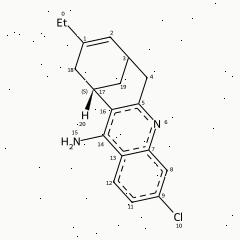 CCC1=CC2Cc3nc4cc(Cl)ccc4c(N)c3[C@H](C1)C2